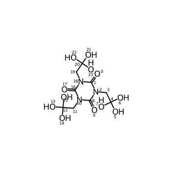 O=c1n(CC(O)(O)O)c(=O)n(CC(O)(O)O)c(=O)n1CC(O)(O)O